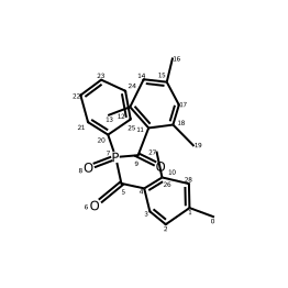 Cc1ccc(C(=O)P(=O)(C(=O)c2c(C)cc(C)cc2C)c2ccccc2)c(C)c1